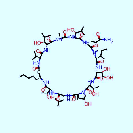 CCCCC[C@@H]1CC(=O)N[C@@H](C(C)C)C(=O)N[C@H]([C@@H](O)C(C)C)C(=O)N[C@@H](C)C(=O)N[C@H]([C@@H](O)C(C)C)C(=O)N[C@H](CCC(N)=O)C(=O)N(C)[C@@H](C(C)CC)C(=O)N[C@H]([C@@H](O)CO)C(=O)N[C@@H]([C@@H](C)O)C(=O)N2C[C@H](O)C[C@H]2C(=O)N[C@H](CC(C)C)C(=O)N[C@@H]([C@@H](C)O)C(=O)N1